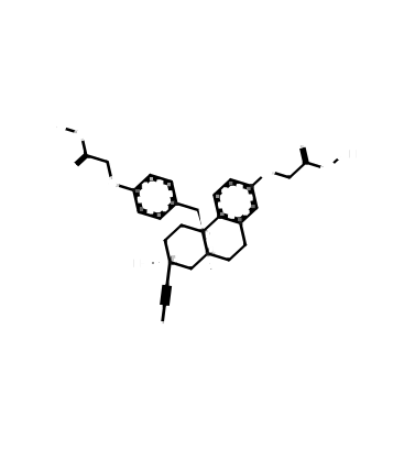 CC#C[C@@]1(O)CC[C@]2(Cc3ccc(OCC(=O)OC)cc3)c3ccc(OCC(=O)OC)cc3CC[C@H]2C1